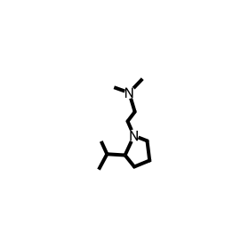 CC(C)C1CCCN1CCN(C)C